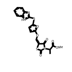 COC(=O)C(C)N1C(=O)S/C(=C/Oc2ccc(Sc3nc4ccccc4[nH]3)o2)C1=O